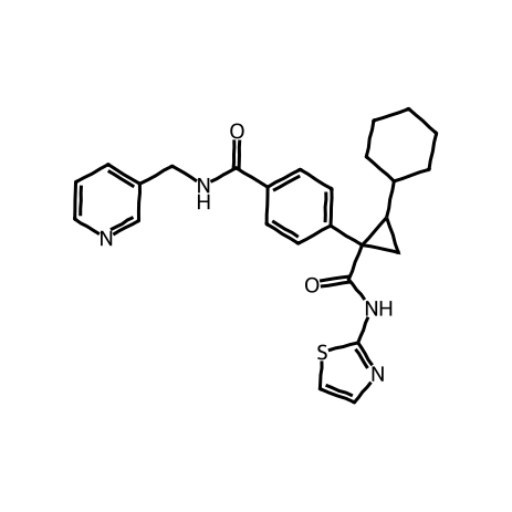 O=C(NCc1cccnc1)c1ccc(C2(C(=O)Nc3nccs3)CC2C2CCCCC2)cc1